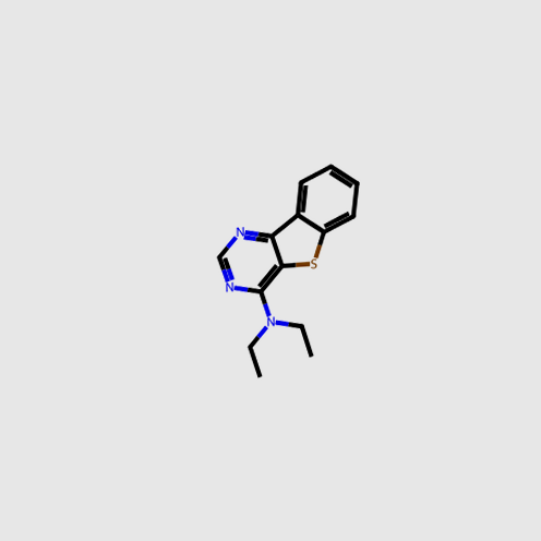 CCN(CC)c1ncnc2c1sc1ccccc12